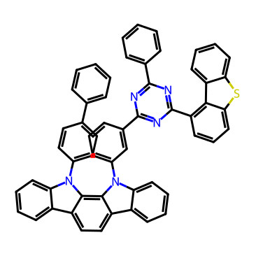 c1ccc(-c2ccc(-n3c4ccccc4c4ccc5c6ccccc6n(-c6cccc(-c7nc(-c8ccccc8)nc(-c8cccc9sc%10ccccc%10c89)n7)c6)c5c43)cc2)cc1